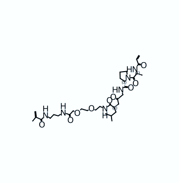 C=CC(=O)N[C@@H](C)C(=O)N1CCC[C@H]1C(=O)NCC(=O)C[C@@H](CC(C)C)C(=O)NCCOCCOCC(=O)NCCCNC(=O)C(=C)C